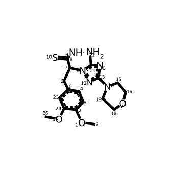 COc1ccc(CC(C([NH])=S)n2nc(N3CCOCC3)nc2N)cc1OC